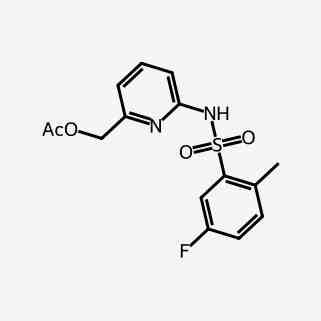 CC(=O)OCc1cccc(NS(=O)(=O)c2cc(F)ccc2C)n1